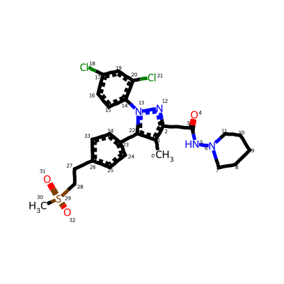 Cc1c(C(=O)NN2CCCCC2)nn(-c2ccc(Cl)cc2Cl)c1-c1ccc(CCS(C)(=O)=O)cc1